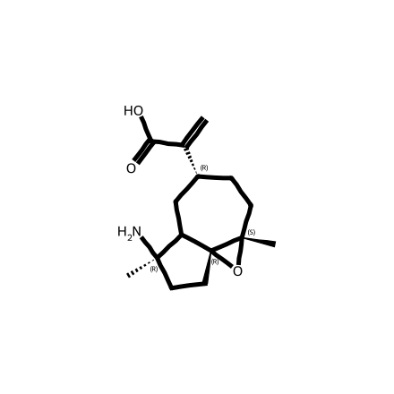 C=C(C(=O)O)[C@@H]1CC[C@]2(C)O[C@@]23CC[C@@](C)(N)C3C1